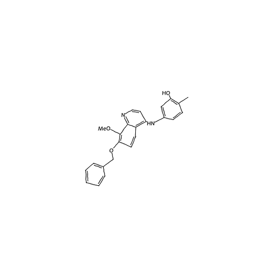 COc1c(OCc2ccccc2)ccc2c(Nc3ccc(C)c(O)c3)ccnc12